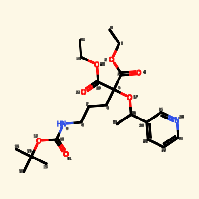 CCOC(=O)C(CCCNC(=O)OC(C)(C)C)(OC(C)c1cccnc1)C(=O)OCC